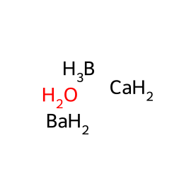 B.O.[BaH2].[CaH2]